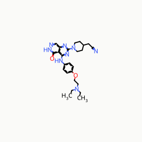 CCN(CC)CCOc1ccc(Nc2nc(N3CCC(CC#N)CC3)nc3cn[nH]c(=O)c23)cc1